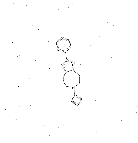 C1=CC(N2CCc3nc(-c4ccccc4)sc3CC2)=C1